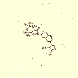 [2H]C1([2H])OC([2H])([2H])C([2H])([2H])N(C(=O)Nc2cc3cc(-c4cnc(C)n4C)cnc3cn2)C1([2H])[2H]